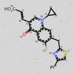 CC(C)c1csc(Cc2cc3c(cc2F)c(=O)c(C=CC(=O)O)cn3C2CC2)n1